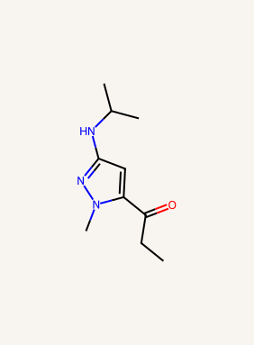 CCC(=O)c1cc(NC(C)C)nn1C